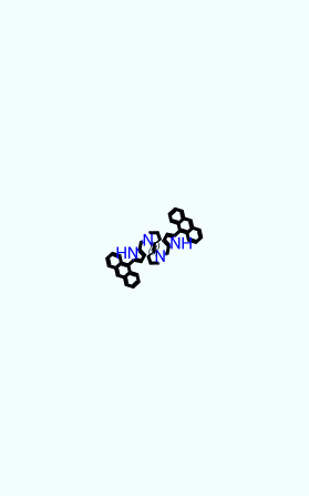 c1ccc2c(-c3ccc(CN4CCC[C@H]4[C@@H]4CCCN4Cc4ccc(-c5c6ccccc6cc6ccccc56)[nH]4)[nH]3)c3ccccc3cc2c1